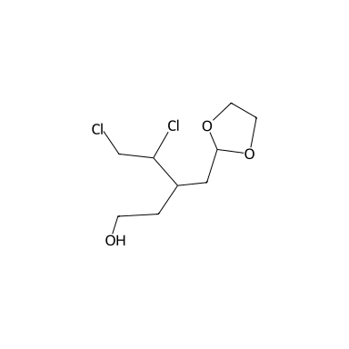 OCCC(CC1OCCO1)C(Cl)CCl